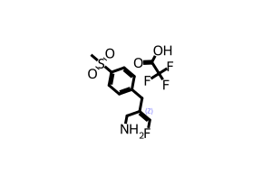 CS(=O)(=O)c1ccc(C/C(=C/F)CN)cc1.O=C(O)C(F)(F)F